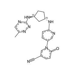 Cc1cnc(N[C@H]2CC[C@H](Nc3ccc(-n4cc(C#N)ccc4=O)cn3)C2)nn1